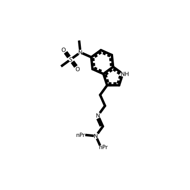 CCCN(C=NCCc1c[nH]c2ccc(N(C)S(C)(=O)=O)cc12)CCC